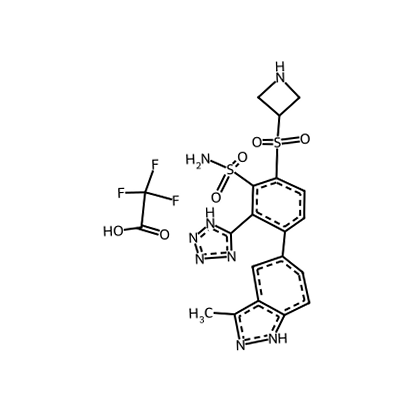 Cc1n[nH]c2ccc(-c3ccc(S(=O)(=O)C4CNC4)c(S(N)(=O)=O)c3-c3nnn[nH]3)cc12.O=C(O)C(F)(F)F